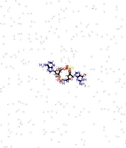 Nc1nc2c(ncn2[C@@H]2O[C@@H]3CNS(=O)(=O)O[C@H]4C[C@H](n5cnc6c(N)ncnc65)O[C@@H]4CO[P@@](=O)(S)O[C@@H]2C3)c(=O)[nH]1